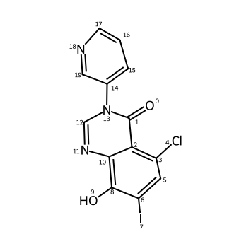 O=c1c2c(Cl)cc(I)c(O)c2ncn1-c1cccnc1